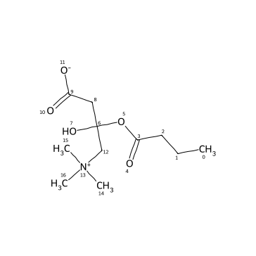 CCCC(=O)OC(O)(CC(=O)[O-])C[N+](C)(C)C